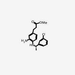 COC(=O)CCc1ccc(N[C@H](C)c2cccc(Cl)c2)c(N)c1